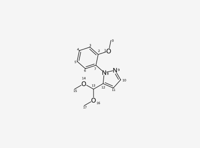 COc1ccccc1-n1nccc1C(OC)OC